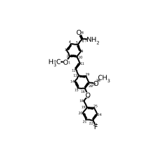 COc1ccc(C(N)=O)cc1C=Cc1ccc(OCc2ccc(F)cc2)c(OC)c1